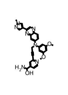 COc1cc(OC)cc(N(CC#Cc2cc(C(N)O)ccn2)c2ccc3ncc(-c4cnn(C)c4)nc3c2)c1